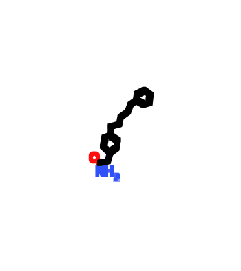 NC(=O)Cc1ccc(CCCCCc2ccccc2)cc1